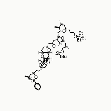 C=C(Br)C[C@@H](CC[C@@]12CC3O[C@H]4C(O1)[C@H]1O[C@@H](CC(=O)CC5[C@H](CC6O[C@@H](CCCO[Si](CC)(CC)CC)C[C@@H](C)C6=C)O[C@H](C[C@H](C)CO[Si](C)(C)C(C)(C)C)[C@@H]5C)CC[C@@H]1O[C@H]4[C@H]3O2)OC(=O)c1ccccc1